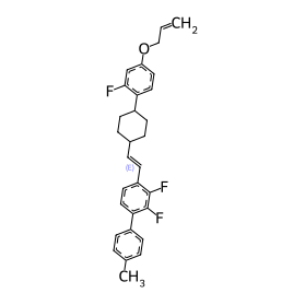 C=CCOc1ccc(C2CCC(/C=C/c3ccc(-c4ccc(C)cc4)c(F)c3F)CC2)c(F)c1